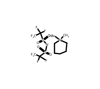 CCCC[N+]1(C)CCCCC1.O=S(=O)([N-]S(=O)(=O)C(F)(F)C(F)(F)F)C(F)(F)C(F)(F)F